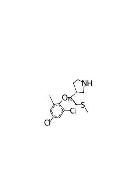 CSC[C@@H](Oc1c(C)cc(Cl)cc1Cl)C1CCNC1